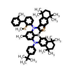 CSc1c(-c2ccccc2C)cccc1N1c2cc(C)cc3c2B(c2cc4c(cc2N3c2ccc(C(C)(C)C)cc2)C(C)(C)CCC4(C)C)c2sc3cc4c(cc3c21)C(C)(C)CCC4(C)C